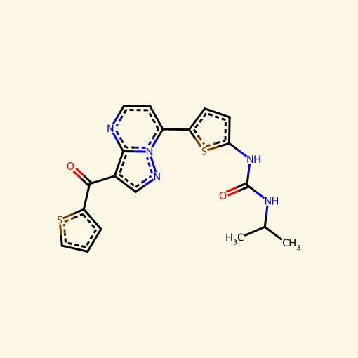 CC(C)NC(=O)Nc1ccc(-c2ccnc3c(C(=O)c4cccs4)cnn23)s1